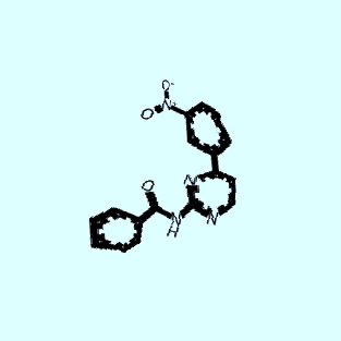 O=C(Nc1nccc(-c2cccc([N+](=O)[O-])c2)n1)c1ccccc1